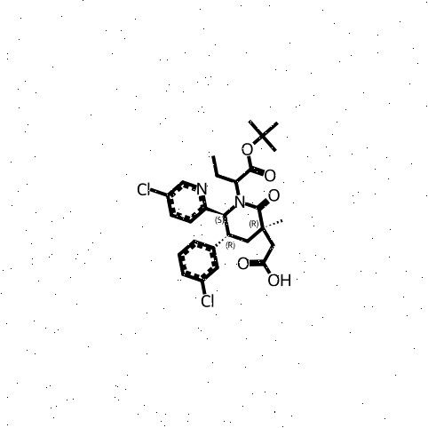 CCC(C(=O)OC(C)(C)C)N1C(=O)[C@@](C)(CC(=O)O)C[C@H](c2cccc(Cl)c2)[C@H]1c1ccc(Cl)cn1